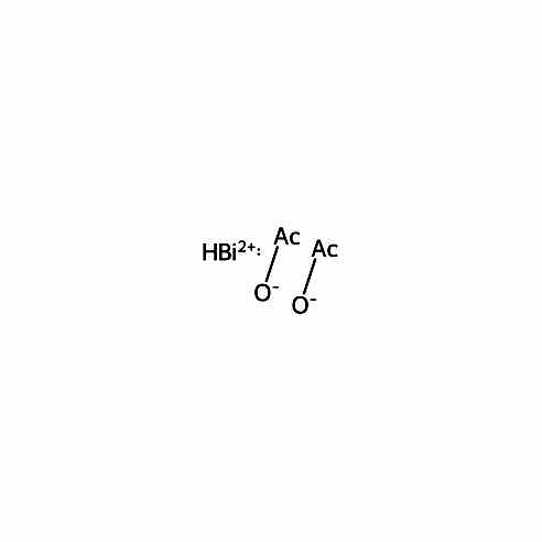 CC(=O)[O-].CC(=O)[O-].[BiH+2]